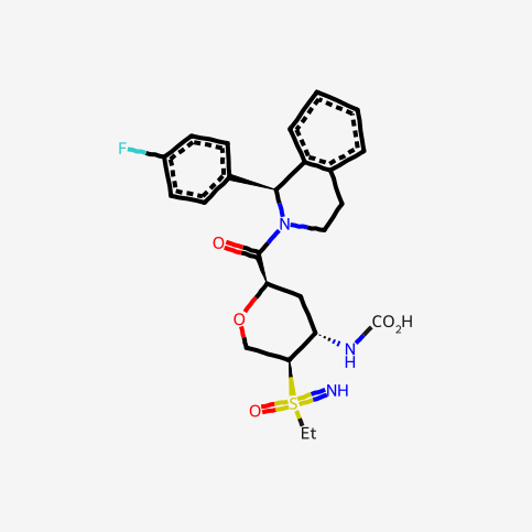 CCS(=N)(=O)[C@H]1CO[C@@H](C(=O)N2CCc3ccccc3[C@@H]2c2ccc(F)cc2)C[C@@H]1NC(=O)O